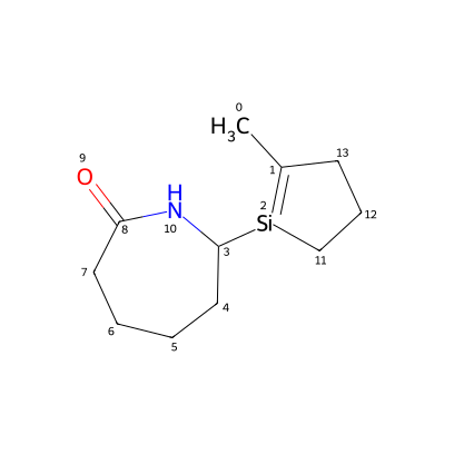 CC1=[Si](C2CCCCC(=O)N2)CCC1